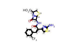 Nc1nc(/C(=C/c2ccccc2C(F)(F)F)C(=O)NC2C(=O)N3C(C(=O)O)CSC23)cs1